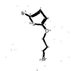 BrCCCOc1ccc(Br)s1